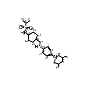 CC1CC(C)CN(c2ccc(NCC3CCC(NS(=O)(=O)C(C)C)CC3)cc2)C1